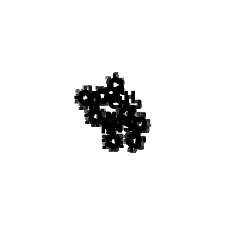 CC1(C)c2ccccc2-c2cc3c4ccccc4n(-c4cccc(-c5nc(-c6ccccc6)nc(-c6cccc7c6sc6c(-c8ccccc8)cccc67)n5)c4)c3cc21